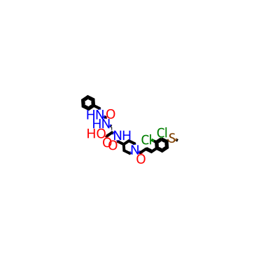 CSc1ccc(C=CC(=O)N2CCC(C(=O)N[C@@H](CNC(=O)NCc3ccccc3)C(=O)O)CC2)c(Cl)c1Cl